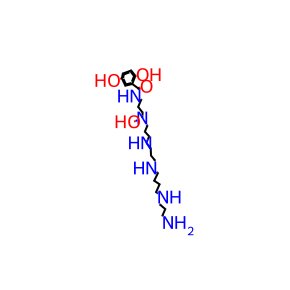 NCCCNCCCCNCCCNCCCN(O)CCCNC(=O)c1cc(O)ccc1O